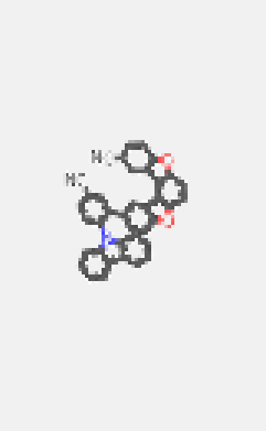 N#Cc1ccc(-n2c3ccccc3c3ccccc32)c(-c2ccc3oc4ccc5oc6c(c5c4c3c2)CC(C#N)C=C6)c1